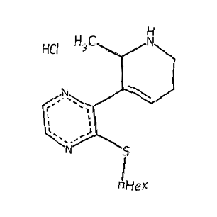 CCCCCCSc1nccnc1C1=CCCNC1C.Cl